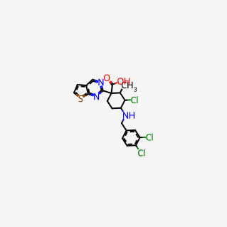 CC1C(Cl)C(NCc2ccc(Cl)c(Cl)c2)CCC1(C(=O)O)c1ncc2ccsc2n1